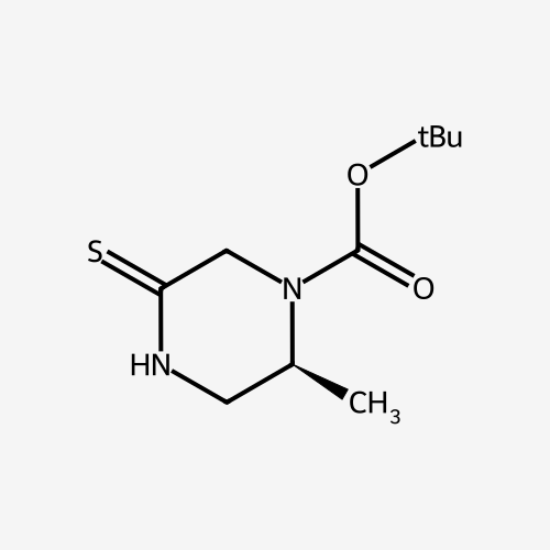 C[C@H]1CNC(=S)CN1C(=O)OC(C)(C)C